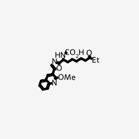 CCC(=O)CCCCCC(NC(=O)O)c1ncc(-c2cc3ccccc3nc2OC)o1